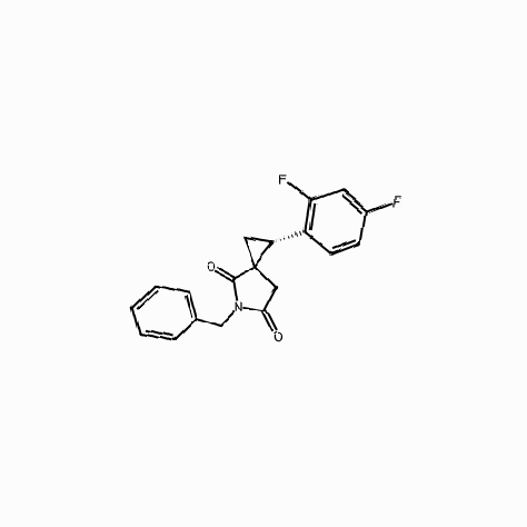 O=C1CC2(C[C@@H]2c2ccc(F)cc2F)C(=O)N1Cc1ccccc1